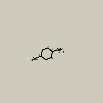 [SiH3]C1CCC([SiH3])CC1